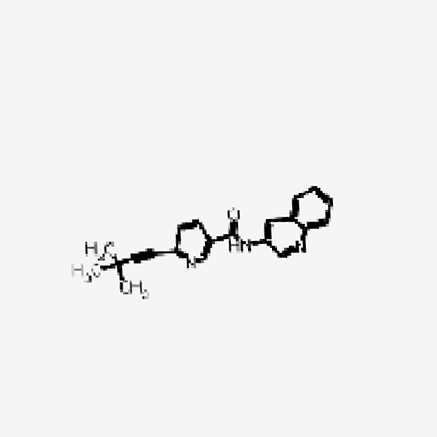 CC(C)(C)C#Cc1ccc(C(=O)Nc2cnc3ccccc3c2)cn1